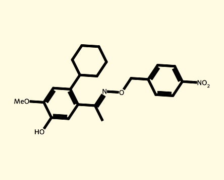 COc1cc(C2CCCCC2)c(C(C)=NOCc2ccc([N+](=O)[O-])cc2)cc1O